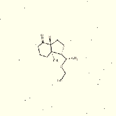 C[C@H](OCO)[C@H]1CC[C@H]2C(=O)CCC[C@]12C